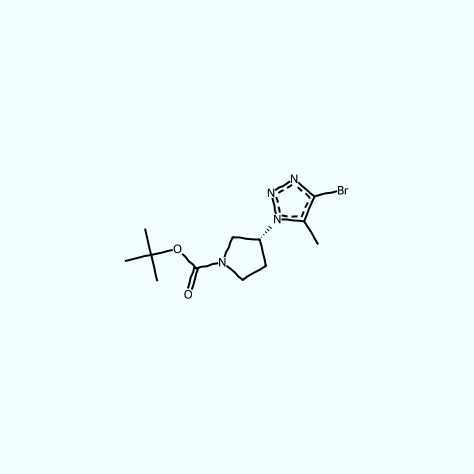 Cc1c(Br)nnn1[C@@H]1CCN(C(=O)OC(C)(C)C)C1